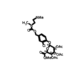 CNCCN(C)C(=O)OCc1ccc(O[C@@H]2O[C@H](C(=O)OC)[C@@H](OC(C)=O)[C@H](OC(C)=O)[C@H]2OC(C)=O)c(Cl)c1